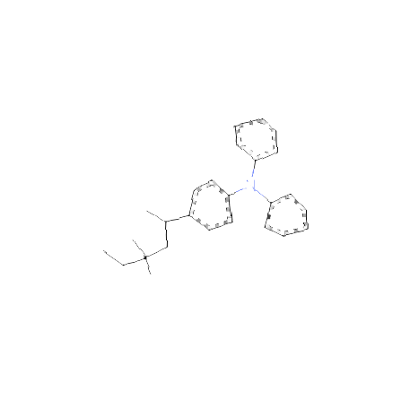 CCC(C)(C)CC(C)c1ccc(N(c2ccccc2)c2ccccc2)cc1